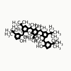 CC(c1cc(C(C)(C)C)ccc1O)c1cc(C(C)(C)C)cc(C(C)c2cc(C(C)(C)C)cc(C(C)c3cc(C(C)(C)C)cc(C(C)c4cc(C(C)(C)C)ccc4O)c3O)c2O)c1O